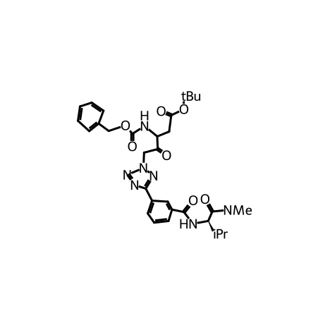 CNC(=O)[C@H](NC(=O)c1cccc(-c2nnn(CC(=O)C(CC(=O)OC(C)(C)C)NC(=O)OCc3ccccc3)n2)c1)C(C)C